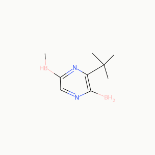 Bc1ncc(BC)nc1C(C)(C)C